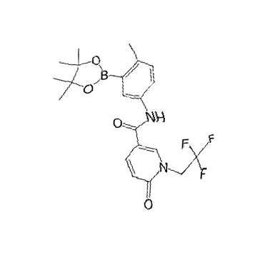 Cc1ccc(NC(=O)c2ccc(=O)n(CC(F)(F)F)c2)cc1B1OC(C)(C)C(C)(C)O1